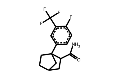 NC(=O)C1CC2CCC1(c1ccc(F)c(C(F)(F)F)c1)C2